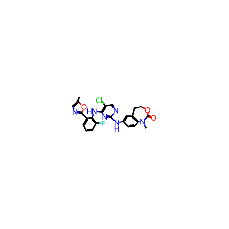 Cc1cnc(-c2cccc(F)c2Nc2nc(Nc3ccc4c(c3)CCOC(=O)N4C)ncc2Cl)o1